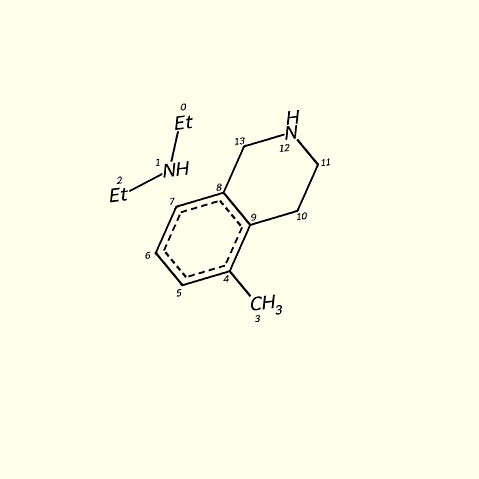 CCNCC.Cc1cccc2c1CCNC2